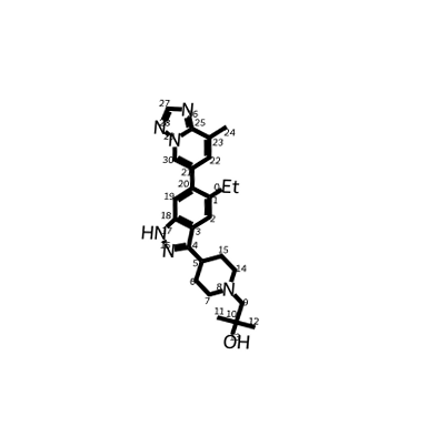 CCc1cc2c(C3CCN(CC(C)(C)O)CC3)n[nH]c2cc1-c1cc(C)c2ncnn2c1